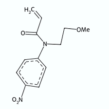 C=CC(=O)N(CCOC)c1ccc([N+](=O)[O-])cc1